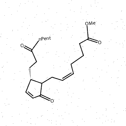 CCCCCC(=O)CC[C@H]1C=CC(=O)C1C/C=C\CCCC(=O)OC